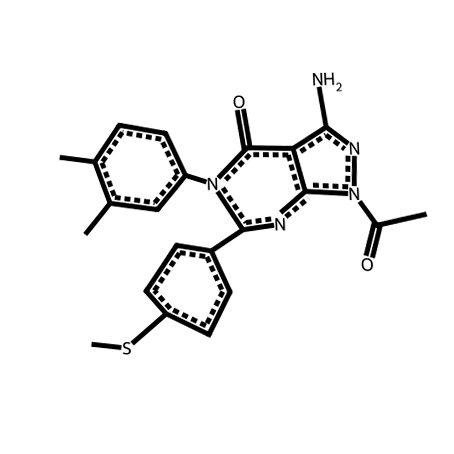 CSc1ccc(-c2nc3c(c(N)nn3C(C)=O)c(=O)n2-c2ccc(C)c(C)c2)cc1